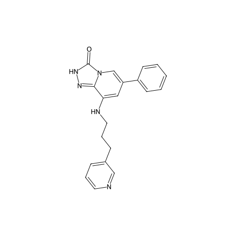 O=c1[nH]nc2c(NCCCc3cccnc3)cc(-c3ccccc3)cn12